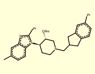 CO[C@@H]1CN(CC2Cc3ccc(C(C)C)cc3C2)CC[C@H]1n1c(C(C)C)nc2cc(C)ccc21